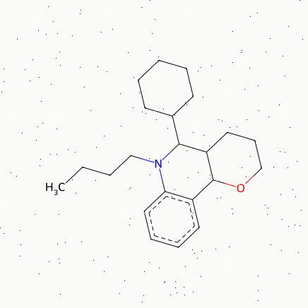 CCCCN1c2ccccc2C2OCCCC2C1C1CCCCC1